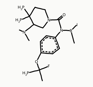 CB(I)N(C(=O)N1CCC(P)(P)C(N(C)C)C1)c1ccc(OC(C)(F)P)cc1